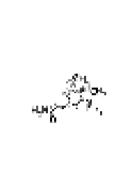 COc1cc(C=CC(N)=O)cc(OC)c1OC